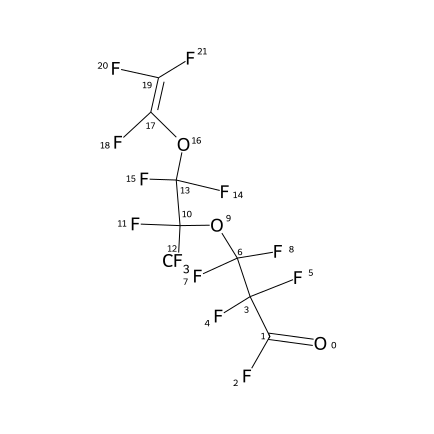 O=C(F)C(F)(F)C(F)(F)OC(F)(C(F)(F)F)C(F)(F)OC(F)=C(F)F